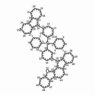 c1ccc([Si](c2ccccc2)(c2cccc(-n3c4ccccc4c4cnccc43)c2)c2cccc(-n3c4ccccc4c4ccc5c6ccccc6oc5c43)c2)cc1